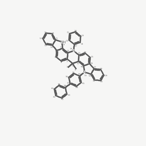 CC1(C)c2ccc3c([nH]c4ccccc43)c2N(c2ccccc2)c2ccc3c4ccccc4n(-c4ccc(-c5ccccc5)cc4)c3c21